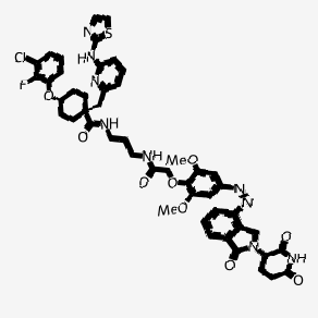 COc1cc(/N=N\c2cccc3c2CN(C2CCC(=O)NC2=O)C3=O)cc(OC)c1OCC(=O)NCCCNC(=O)[C@]1(Cc2cccc(Nc3nccs3)n2)CC[C@@H](Oc2cccc(Cl)c2F)CC1